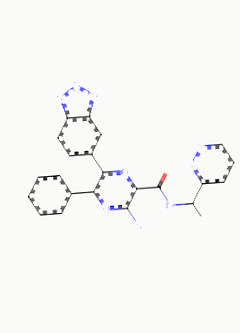 CC(NC(=O)c1nc(-c2ccc3nn[nH]c3c2)c(-c2ccccc2)nc1N)c1cccnn1